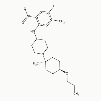 CCCO[C@H]1CC[C@@](C)(N2CCC(Nc3cc(C)c(F)cc3[N+](=O)[O-])CC2)CC1